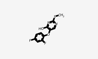 CSc1ncc(Oc2ccc(F)cc2F)c(O)n1